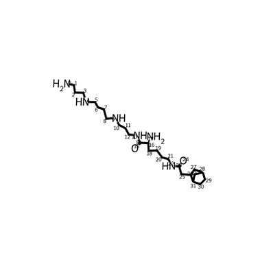 NCCCNCCCCNCCCNC(=O)[C@@H](N)CCCCNC(=O)CC1CC2CCC1C2